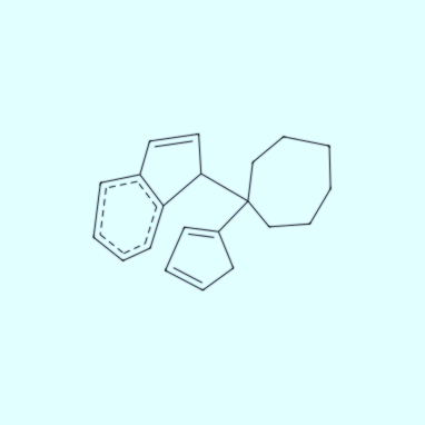 C1=CCC(C2(C3C=Cc4ccccc43)CCCCCC2)=C1